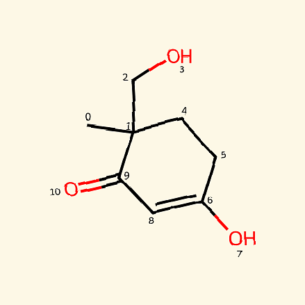 CC1(CO)CCC(O)=CC1=O